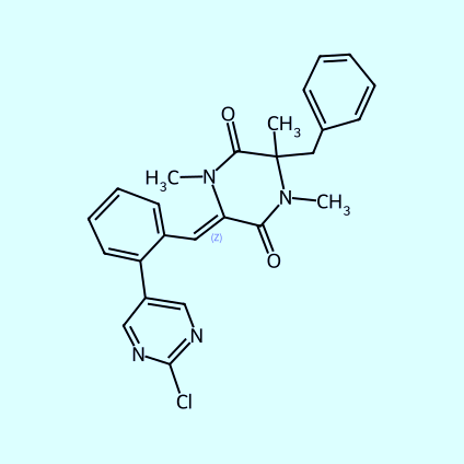 CN1C(=O)C(C)(Cc2ccccc2)N(C)C(=O)/C1=C/c1ccccc1-c1cnc(Cl)nc1